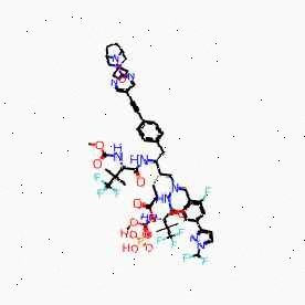 COC(=O)N[C@H](C(=O)N[C@@H](Cc1ccc(C#Cc2cnc(N3CC4CCC(C3)N4C3COC3)nc2)cc1)[C@@H](CCC(=O)OCOP(=O)(O)O)CN(Cc1c(F)cc(-c2ccn(C(F)F)n2)cc1F)NC(=O)[C@@H](NC(=O)OC)C(C)(C)C(F)(F)F)C(C)(C)C(F)(F)F